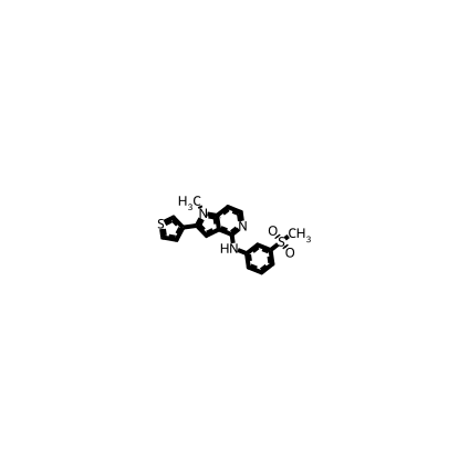 Cn1c(-c2ccsc2)cc2c(Nc3cccc(S(C)(=O)=O)c3)nccc21